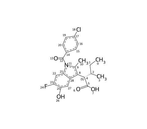 CCC(C)[C@H](C(=O)O)c1c(C)n(C(=O)c2ccc(Cl)cc2)c2cc(F)c(O)cc12